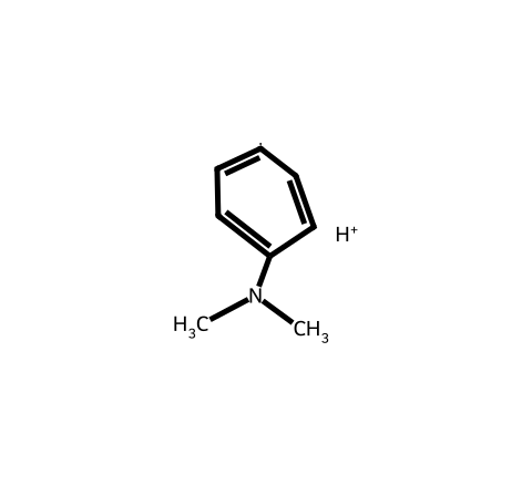 CN(C)c1cc[c]cc1.[H+]